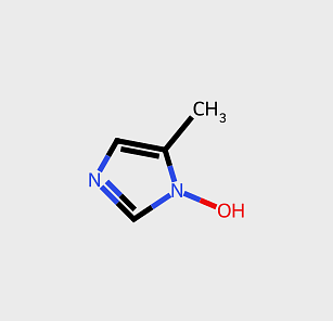 Cc1cncn1O